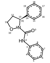 O=C(Nc1ccccc1)N1OCC[C@H]1c1ccccc1